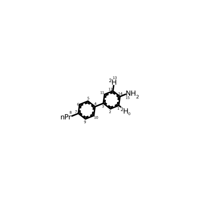 [2H]c1cc(-c2ccc(CCC)cc2)cc([2H])c1N